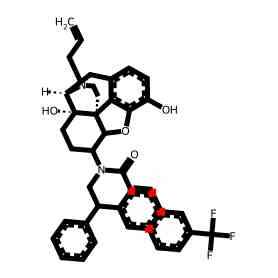 C=CCN1CC[C@]23c4c5ccc(O)c4OC2C(N(CC(c2ccccc2)c2ccccc2)C(=O)/C=C/c2cccc(C(F)(F)F)c2)CC[C@@]3(O)[C@H]1C5